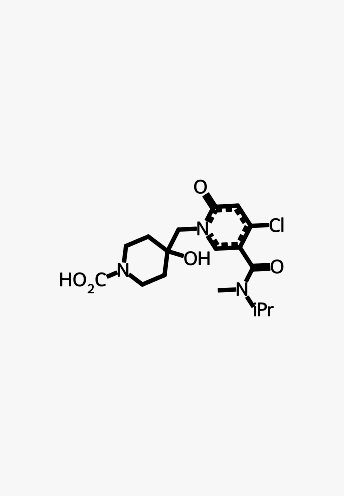 CC(C)N(C)C(=O)c1cn(CC2(O)CCN(C(=O)O)CC2)c(=O)cc1Cl